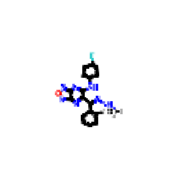 CCOC(=O)c1ccccc1C(=NN)c1nc2nonc2nc1Nc1ccc(F)cc1